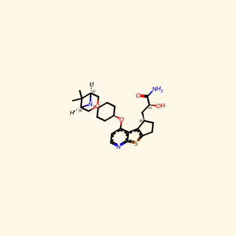 CC1(C)[C@@H]2COC[C@H]1N2[C@H]1CC[C@H](Oc2ccnc3sc4c(c23)[C@@H](C[C@H](O)C(N)=O)CC4)CC1